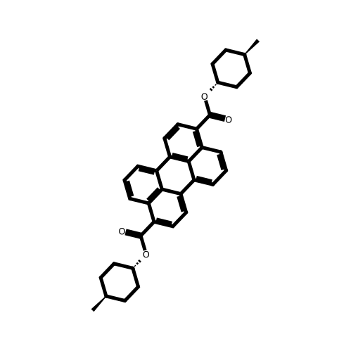 C[C@H]1CC[C@H](OC(=O)c2ccc3c4cccc5c(C(=O)O[C@H]6CC[C@H](C)CC6)ccc(c6cccc2c63)c54)CC1